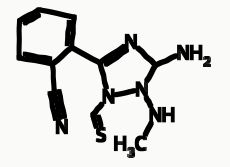 CNN1C(N)N=C(c2ccccc2C#N)N1C=S